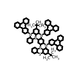 CC(C)(C)c1cc2c3c(c1)N(c1ccc4c5ccccc5c5ccccc5c4c1)c1cc4c(cc1B3c1ccccc1S2)B1c2ccccc2N(c2ccc3c5ccccc5c5ccccc5c3c2)c2cc(C(C)(C)C)cc(c21)N4c1ccc2c3ccccc3c3ccccc3c2c1